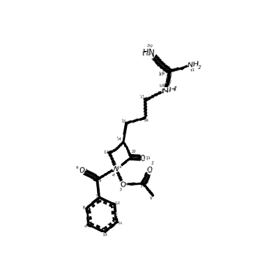 CC(=O)O[N+]1(C(=O)c2ccccc2)CC(CCCNC(=N)N)C1=O